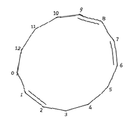 [CH]1C=CCCCC=CC=CCCC1